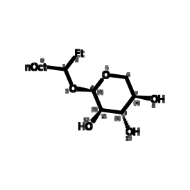 CCCCCCCCC(CC)O[C@H]1OC[C@@H](O)[C@H](O)[C@H]1O